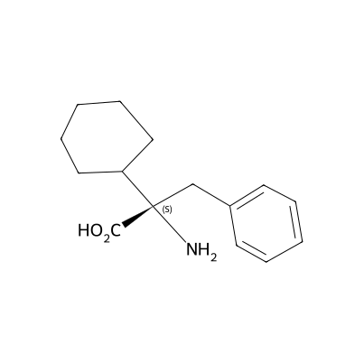 N[C@](Cc1ccccc1)(C(=O)O)C1CCCCC1